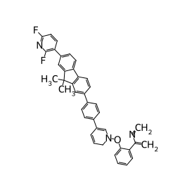 C=NC(=C)c1ccccc1ON1C=C(c2ccc(-c3ccc4c(c3)C(C)(C)c3cc(-c5ccc(F)nc5F)ccc3-4)cc2)C=CC1